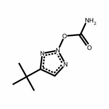 CC(C)(C)c1cnn(OC(N)=O)n1